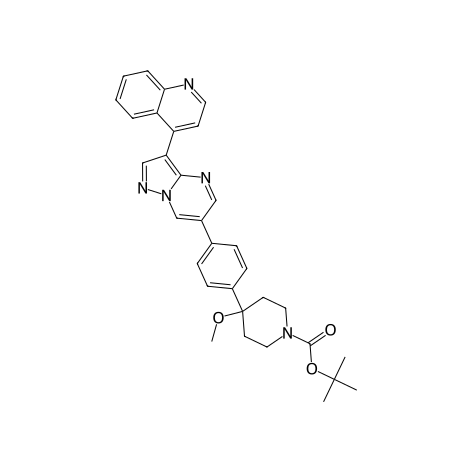 COC1(c2ccc(-c3cnc4c(-c5ccnc6ccccc56)cnn4c3)cc2)CCN(C(=O)OC(C)(C)C)CC1